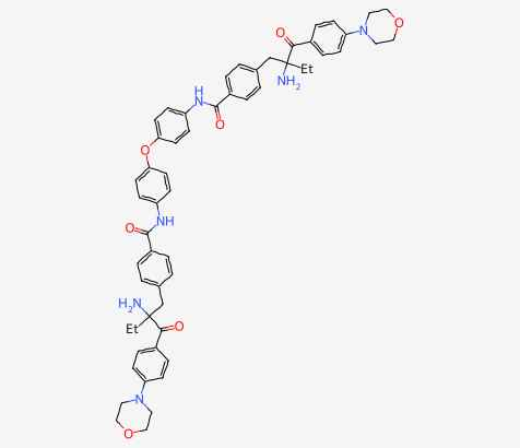 CCC(N)(Cc1ccc(C(=O)Nc2ccc(Oc3ccc(NC(=O)c4ccc(CC(N)(CC)C(=O)c5ccc(N6CCOCC6)cc5)cc4)cc3)cc2)cc1)C(=O)c1ccc(N2CCOCC2)cc1